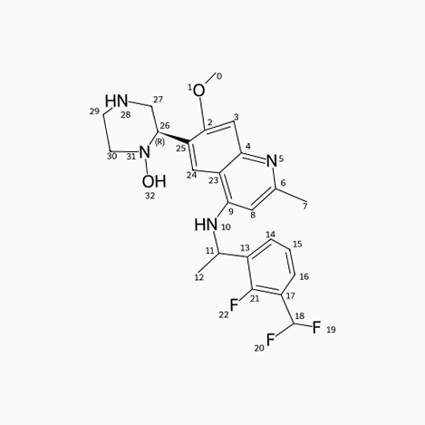 COc1cc2nc(C)cc(NC(C)c3cccc(C(F)F)c3F)c2cc1[C@@H]1CNCCN1O